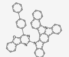 c1ccc(-c2ccc(-c3nc(-n4c5ccccc5c5cc6c7ccccc7n7c8c9ccccc9ccc8c(c54)c67)nc4c3oc3ccccc34)cc2)cc1